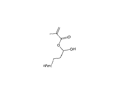 C=C(C)C(=O)OC(O)CCCCCCC